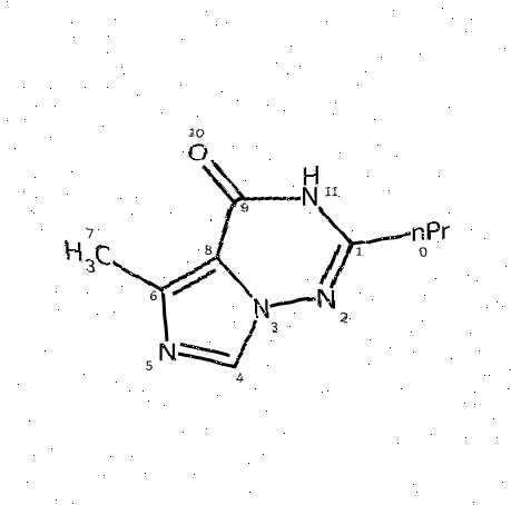 CCCc1nn2cnc(C)c2c(=O)[nH]1